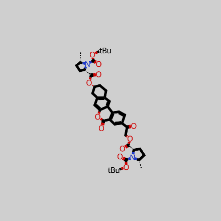 C[C@H]1CC[C@@H](C(=O)OCC(=O)c2ccc3c(c2)c(=O)oc2cc4c(cc23)CC[C@@H](OC(=O)[C@@H]2CC[C@H](C)N2C(=O)OC(C)(C)C)C4)N1C(=O)OC(C)(C)C